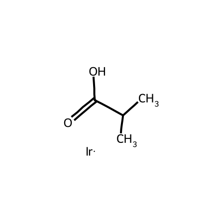 CC(C)C(=O)O.[Ir]